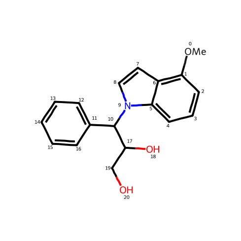 COc1cccc2c1ccn2C(c1ccccc1)C(O)CO